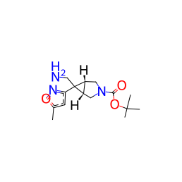 Cc1cc(C2(CN)[C@@H]3CN(C(=O)OC(C)(C)C)C[C@@H]32)no1